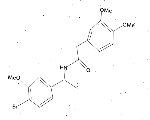 COc1cc(C(C)NC(=O)Cc2ccc(OC)c(OC)c2)ccc1Br